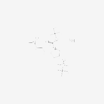 B.CN(O)CCC[C@H]1C[C@@H](O[Si](C)(C)C(C)(C)C)CN1C(=O)OC(C)(C)C